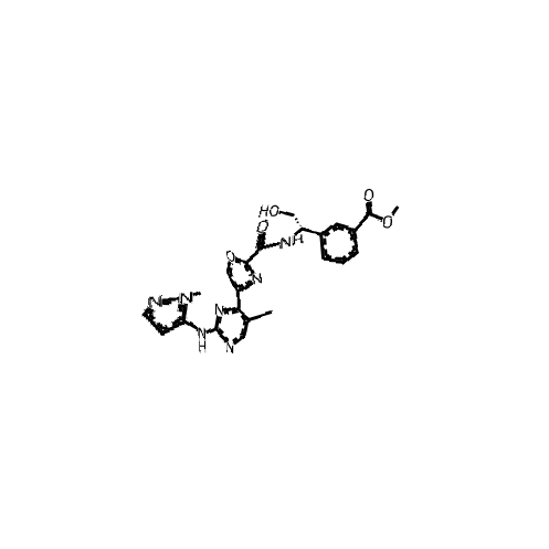 COC(=O)c1cccc([C@@H](CO)NC(=O)c2nc(-c3nc(Nc4ccnn4C)ncc3C)co2)c1